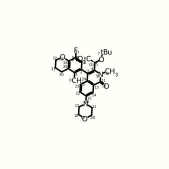 Cc1c(-c2c([C@H](OC(C)(C)C)C(=O)O)n(C)c(=O)c3cc(N4CCOCC4)ccc23)cc(F)c2c1CCCO2